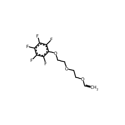 C=COCCOCCOc1c(F)c(F)c(F)c(F)c1F